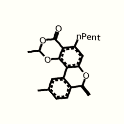 C=C1Oc2cc(CCCCC)c3c(c2-c2cc(C)ccc21)OC(C)OC3=O